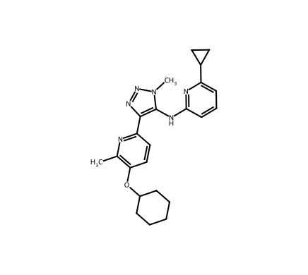 Cc1nc(-c2nnn(C)c2Nc2cccc(C3CC3)n2)ccc1OC1CCCCC1